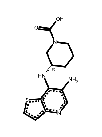 Nc1cnc2ccsc2c1N[C@H]1CCCN(C(=O)O)C1